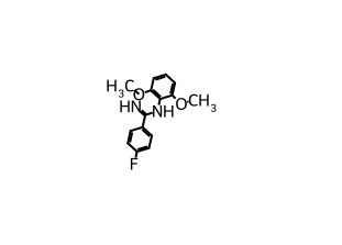 COc1cccc(OC)c1NC(=N)c1ccc(F)cc1